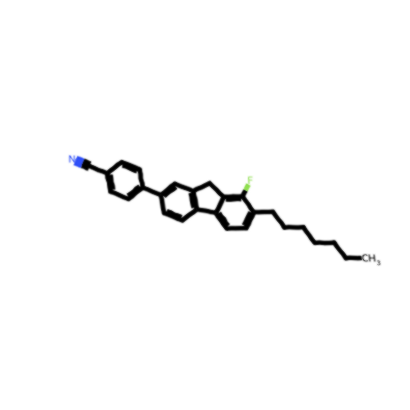 CCCCCCCc1ccc2c(c1F)Cc1cc(-c3ccc(C#N)cc3)ccc1-2